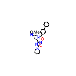 CON=C1CC(c2noc(N3CCCCC3)n2)N(C(=O)c2ccc(-c3ccccc3)cc2)C1